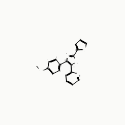 COc1ccc(-c2nc(-c3cccs3)sc2-c2ccccn2)cc1